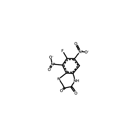 O=C1[N]c2c(cc([N+](=O)[O-])c(F)c2[N+](=O)[O-])NC1=O